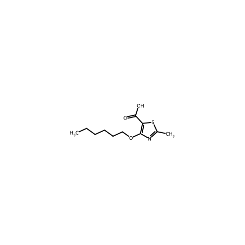 CCCCCCOc1nc(C)sc1C(=O)O